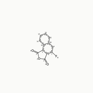 O=C1OC(=O)c2c1c(F)cc1ccccc21